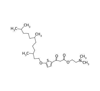 CC(C)CCCC(C)CCCC(C)CCOc1ccc(C(=O)CC(=O)OCCN(C)C)s1